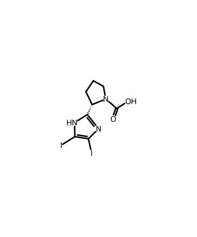 O=C(O)N1CCC[C@H]1c1nc(I)c(I)[nH]1